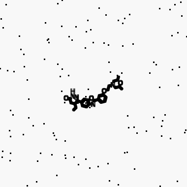 CCC1CC(=O)NN=C1c1ccc2nc(-c3cccc(OCCN4CC(C)OC(C)C4)c3)oc2c1